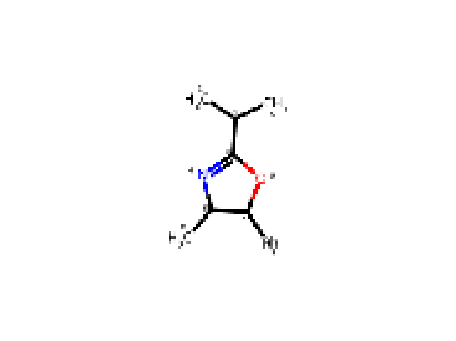 CC(C)C1=NC(C)[CH]([Rh])O1